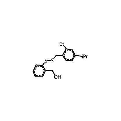 CCc1cc(C(C)C)ccc1CSSc1ccccc1CO